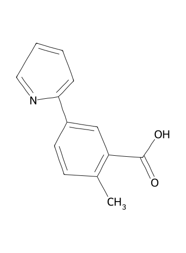 Cc1ccc(-c2ccccn2)cc1C(=O)O